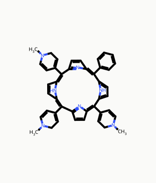 CN1C=CC(c2c3nc(c(C4=CCN(C)C=C4)c4ccc([nH]4)c(-c4ccccc4)c4nc(c(C5=CCN(C)C=C5)c5ccc2[nH]5)C=C4)C=C3)=CC1